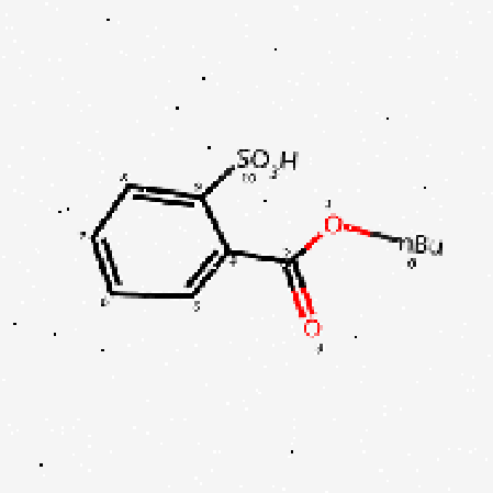 CCCCOC(=O)c1ccccc1S(=O)(=O)O